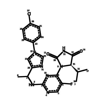 CC(Nc1ncc(F)c(N2C(=O)NC(=O)[C@@H]2C(C)C)n1)c1cn(-c2ccc(Cl)cc2)cn1